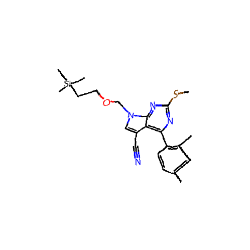 CSc1nc(-c2ccc(C)cc2C)c2c(C#N)cn(COCC[Si](C)(C)C)c2n1